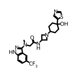 CN(CC(=O)NC1CN(C2CCC(O)(c3cncs3)CC2)C1)c1n[nH]c2ccc(C(F)(F)F)cc12